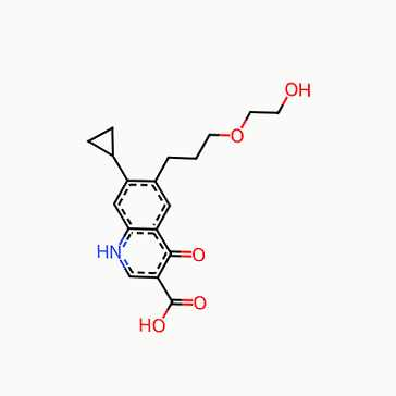 O=C(O)c1c[nH]c2cc(C3CC3)c(CCCOCCO)cc2c1=O